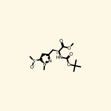 COC(=O)[C@H](Cc1cc([S+](C)[O-])n(C)n1)NC(=O)OC(C)(C)C